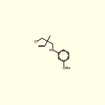 C=CC(C)(CCl)CNc1cccc(OC)c1